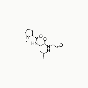 CC(C)C[C@H](NC(=O)[C@@H]1CCCN1C)C(=O)NCC=O